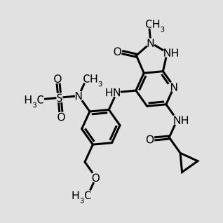 COCc1ccc(Nc2cc(NC(=O)C3CC3)nc3[nH]n(C)c(=O)c23)c(N(C)S(C)(=O)=O)c1